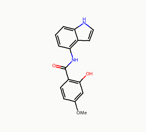 COc1ccc(C(=O)Nc2cccc3[nH]ccc23)c(O)c1